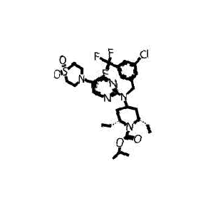 CC[C@@H]1CC(N(Cc2cc(Cl)cc(C(F)(F)F)c2)c2ncc(N3CCS(=O)(=O)CC3)cn2)C[C@H](CC)N1C(=O)OC(C)C